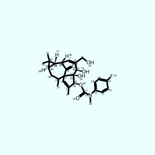 CC1=CC23C(=O)[C@@H](C=C(CO)[C@@H](O)[C@]2(O)[C@H]1OC(=O)N(C)c1ccc(F)cc1)[C@@H]1[C@@H](CC3C)C1(C)C